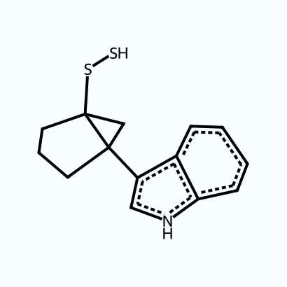 SSC12CCCC1(c1c[nH]c3ccccc13)C2